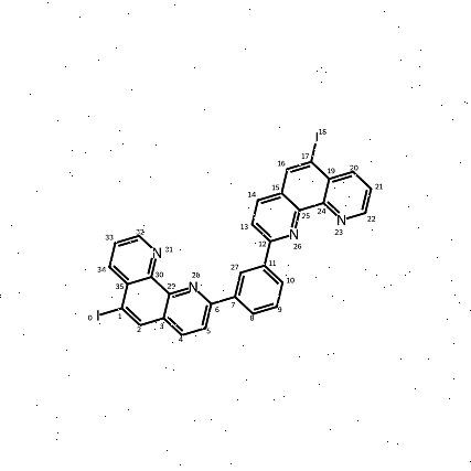 Ic1cc2ccc(-c3cccc(-c4ccc5cc(I)c6cccnc6c5n4)c3)nc2c2ncccc12